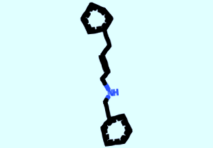 C(=CCc1ccccc1)CNCc1ccccc1